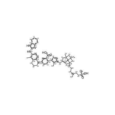 Cc1c(Nc2nc3ccccc3[nH]2)nnc2c1CCCN2c1ccc(-c2cnn(CC34CC5(C)CC6(C)CC(OCCN(C)CCS(=O)(=O)O)(C3)C56C4)c2C)c(C(=O)O)n1